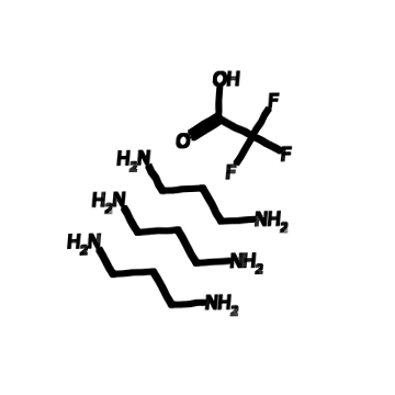 NCCCN.NCCCN.NCCCN.O=C(O)C(F)(F)F